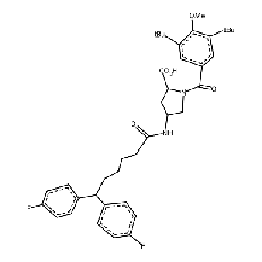 COc1c(C(C)(C)C)cc(C(=O)N2CC(NC(=O)CCCCC(c3ccc(F)cc3)c3ccc(F)cc3)CC2C(=O)O)cc1C(C)(C)C